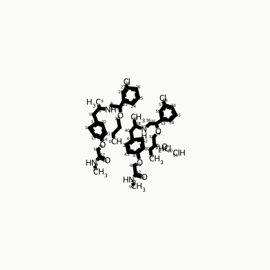 CCCCOC(CNC(C)Cc1ccc(OCC(=O)NC)cc1)c1cccc(Cl)c1.CCCCOC(CNC(C)Cc1ccc(OCC(=O)NC)cc1)c1cccc(Cl)c1.Cl.Cl.O